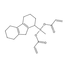 C=CC(=O)[O][Ti]([CH3])([O]C(=O)C=C)[CH]1CCCC2=C1CC1=C2CCCC1